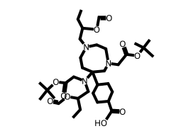 CCC(CN1CCN(CC(=O)OC(C)(C)C)CC(C2CCC(C(=O)O)CC2)(N(CC(=O)OC(C)(C)C)CC(CC)OC=O)CC1)OC=O